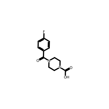 O=C(O)N1CCN(C(=O)c2ccc(F)cc2)CC1